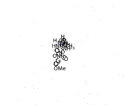 COc1ccc(CCn2c(N3CCOCC3)nc3cc(N/C(=N/C4C[C@H]5C[C@@H]([C@@H]4C)C5(C)C)N4CC(=O)N[C@@H](C)C4)ccc3c2=O)c(F)c1